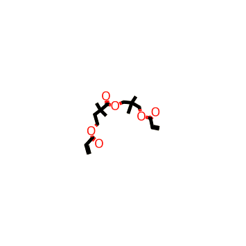 C=CC(=O)OCCC(C)(C)C(=O)OCC(C)(C)COC(=O)C=C